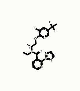 CCN(C(=O)c1cccnc1-n1nccn1)[C@@H](C)COc1ncc(C(C)(F)F)cc1F